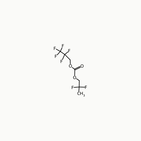 CC(F)(F)COC(=O)OCC(F)(F)C(F)(F)F